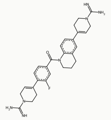 N=C(N)N1CC=C(c2ccc3c(c2)CCCN3C(=O)c2ccc(C3=CCN(C(=N)N)CC3)c(F)c2)CC1